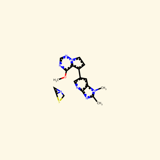 C1=C2SCN12.COc1ncnn2ccc(-c3cnc4nc(C)n(C)c4c3)c12